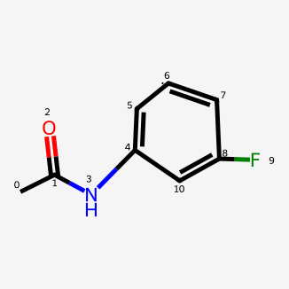 CC(=O)Nc1c[c]cc(F)c1